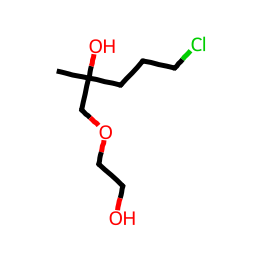 CC(O)(CCCCl)COCCO